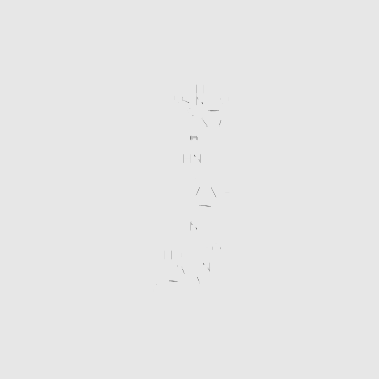 Cc1cc(C(=O)N2CCOC3(CCN(Cc4cc(F)cc(CCNC[C@H](O)c5ccc(O)c6[nH]c(=O)sc56)c4)CC3)C2)c(C)s1